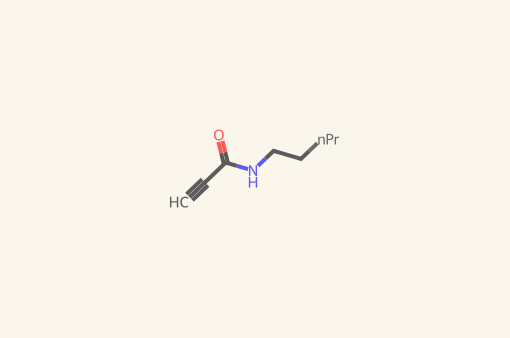 C#CC(=O)NCCCCC